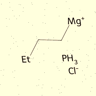 CCC[CH2][Mg+].P.[Cl-]